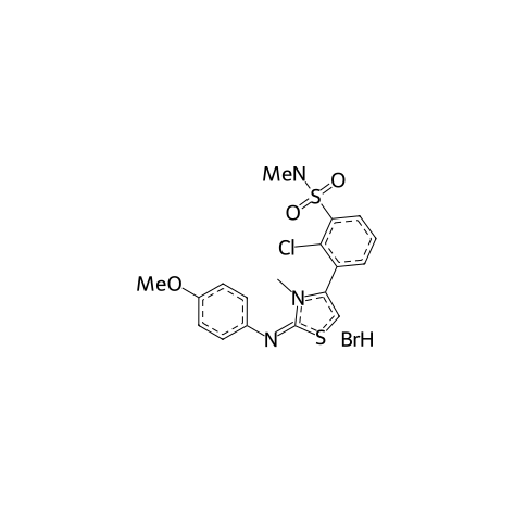 Br.CNS(=O)(=O)c1cccc(-c2csc(=Nc3ccc(OC)cc3)n2C)c1Cl